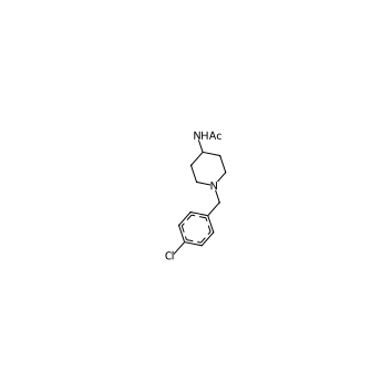 [CH2]C(=O)NC1CCN(Cc2ccc(Cl)cc2)CC1